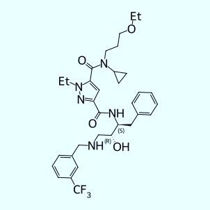 CCOCCCN(C(=O)c1cc(C(=O)N[C@@H](Cc2ccccc2)[C@H](O)CNCc2cccc(C(F)(F)F)c2)nn1CC)C1CC1